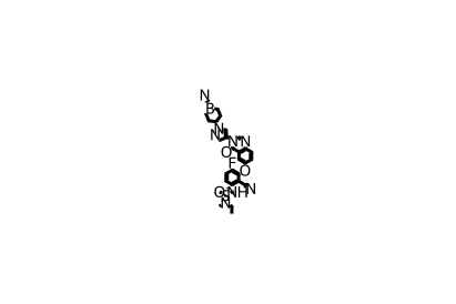 CCN(C)[S+]([O-])Nc1ccc(F)c(Oc2ccc3ncn(-c4cnn(C5CCB(C#N)CC5)c4)c(=O)c3c2)c1C#N